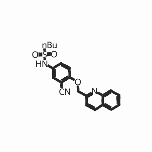 CCCCS(=O)(=O)Nc1ccc(OCc2ccc3ccccc3n2)c(C#N)c1